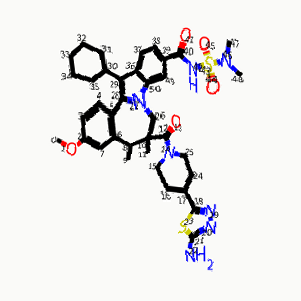 COc1ccc2c(c1)C(C)C(C)(C(=O)N1CCC(c3nnc(N)s3)CC1)Cn1c-2c(C2CCCCC2)c2ccc(C(=O)NS(=O)(=O)N(C)C)cc21